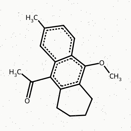 COc1c2c(c(C(C)=O)c3cc(C)ccc13)CCCC2